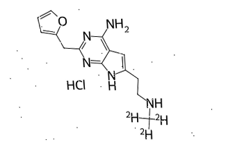 Cl.[2H]C([2H])([2H])NCCc1cc2c(N)nc(Cc3ccco3)nc2[nH]1